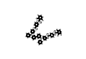 O=C(Oc1ccc([S+](c2ccccc2)c2cccc(-c3cccc([S+](c4ccccc4)c4ccc(OC(=O)C5CCC(OC(=O)c6c(I)ccc(I)c6I)CC5)cc4)c3)c2)cc1)c1ccc(OC(=O)c2c(I)ccc(I)c2I)cc1